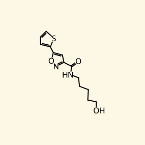 O=C(NCCCCCO)c1cc(-c2cccs2)on1